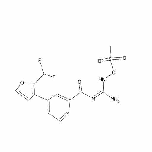 CS(=O)(=O)ONC(N)=NC(=O)c1cccc(-c2ccoc2C(F)F)c1